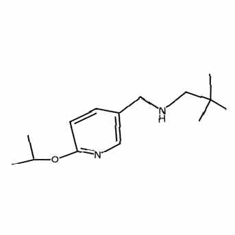 CC(C)Oc1ccc(CNCC(C)(C)C)cn1